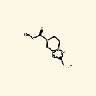 CCOC(=O)c1cc2n(n1)CCN(C(=O)OC(C)(C)C)C2